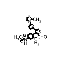 Cc1cc(NS(C)(=O)=O)ccc1-c1c(-c2ccc(-n3ccnc3C)s2)csc1C=O